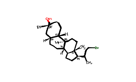 CC[C@@]1(O)CC[C@H]2[C@H](CC[C@H]3C4CC[C@H](C(C)CBr)[C@@]4(C)CC[C@H]23)C1